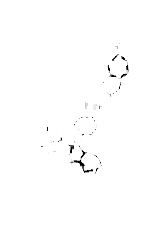 CC(C)(O)c1nc2cc(Cl)ccc2n1C1CCC(NC[C@@H]2Cc3ccc(Br)cc3C2)CC1